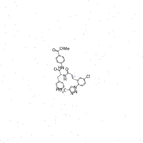 COC(=O)c1ccc(NC(=O)C(Cc2ccccc2)NC(=O)/C=C/c2cc(Cl)ccc2-n2cc(C(=O)O)nn2)cc1